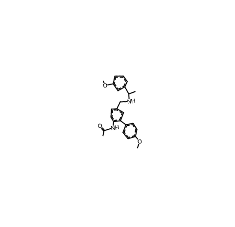 COc1ccc(-c2cc(CNC(C)c3cccc(OC)c3)ccc2NC(C)=O)cc1